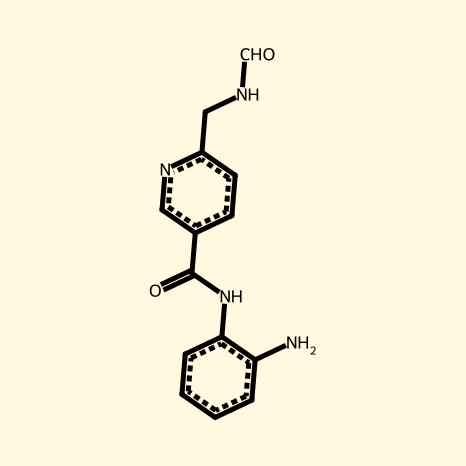 Nc1ccccc1NC(=O)c1ccc(CNC=O)nc1